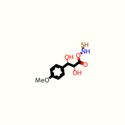 COc1ccc([C@H](O)[C@@H](O)C(=O)ONS)cc1